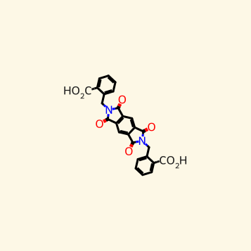 O=C(O)c1ccccc1Cn1c(=O)c2cc3c(=O)n(Cc4ccccc4C(=O)O)c(=O)c3cc2c1=O